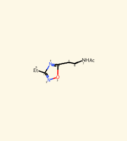 CCc1noc(CCNC(C)=O)n1